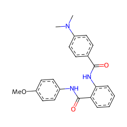 COc1ccc(NC(=O)c2ccccc2NC(=O)c2ccc(N(C)C)cc2)cc1